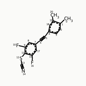 Cc1ccc(C#Cc2cc(F)c(SC#N)c(F)c2)cc1C